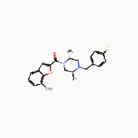 COc1cccc2cc(C(=O)N3C[C@H](C)N(Cc4ccc(F)cc4)C[C@H]3C)oc12